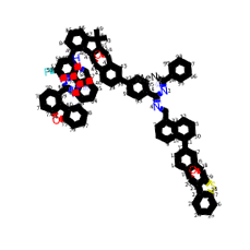 CN/C(=N\C(=N/Cc1cccc2c(-c3ccc4c(c3)c3oc4c4c5ccccc5sc34)cccc12)c1ccc(-c2ccc3c(c2)C2OC3C3c4c(-c5cc(F)cc(C6=C\CN/C(c7ccccc7)=N/C(c7cccc8oc9ccccc9c78)=N\6)c5)cccc4C(C)(C)C23)cc1)c1ccccc1